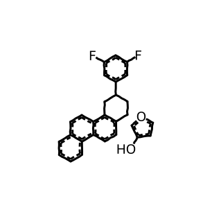 Fc1cc(F)cc(C2CCc3ccc4c(ccc5ccccc54)c3C2)c1.Oc1ccoc1